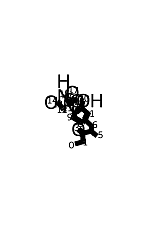 CCC(=O)C(C)Cc1ccc(N2CC(=O)NS2(=O)=O)c(O)c1